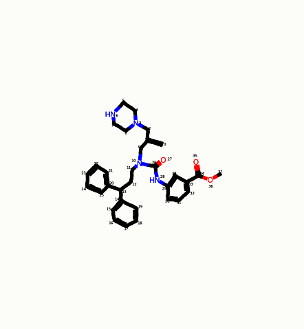 C=C(CN1CCNCC1)CN(CCC(c1ccccc1)c1ccccc1)C(=O)Nc1cccc(C(=O)OC)c1